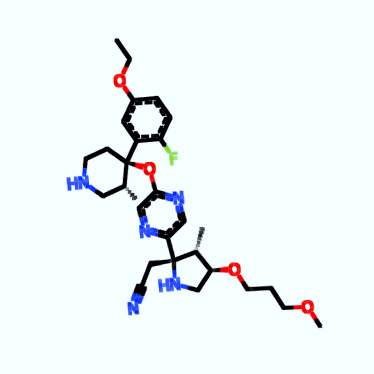 CCOc1ccc(F)c([C@@]2(Oc3cnc([C@@]4(CC#N)NC[C@H](OCCCOC)[C@H]4C)cn3)CCNC[C@H]2C)c1